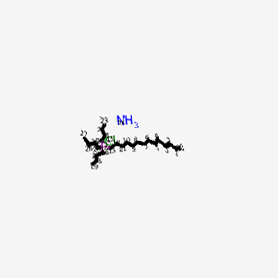 CCCCCCCCCCCCCCP(Cl)(CCCC)(CCCC)CCCC.N